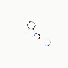 Cc1cccc(-c2cc([C@@H]3CCCN3)on2)c1C